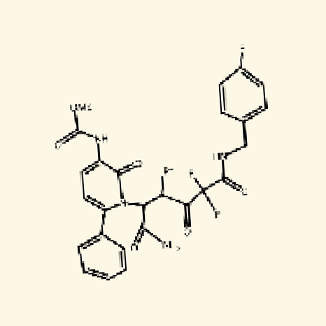 COC(=O)Nc1ccc(-c2ccccc2)n(C(C(N)=O)C(C(=O)C(F)(F)C(=O)NCc2ccc(F)cc2)C(C)C)c1=O